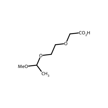 COC(C)OCCOCC(=O)O